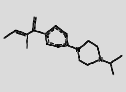 C=C(/C(C)=C/C)c1ccc(N2CCN(C(C)C)CC2)cc1